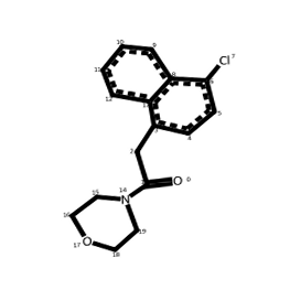 O=C(Cc1ccc(Cl)c2ccccc12)N1CCOCC1